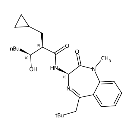 CCCC[C@H](O)[C@@H](CC1CC1)C(=O)N[C@@H]1N=C(CC(C)(C)C)c2ccccc2N(C)C1=O